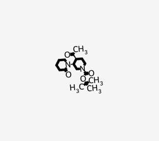 CC(=O)[C@H]1CCN(C(=O)OC(C)(C)C)C[C@@H]1N1CCCCC1=O